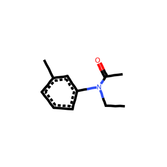 CCN(C(C)=O)c1cccc(C)c1